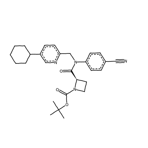 CC(C)(C)OC(=O)N1CC[C@@H]1C(=O)N(Cc1ccc(C2CCCCC2)cn1)c1ccc(C#N)cc1